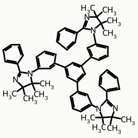 CC1(C)N=C(c2ccccc2)N(c2cccc(-c3cc(-c4cccc(N5C(c6ccccc6)=NC(C)(C)C5(C)C)c4)cc(-c4cccc(N5C(c6ccccc6)=NC(C)(C)C5(C)C)c4)c3)c2)C1(C)C